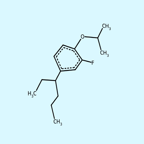 CCCC(CC)c1ccc(OC(C)C)c(F)c1